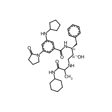 CC(NC[C@@H](O)[C@H](Cc1ccccc1)NC(=O)c1cc(NC2CCCC2)cc(N2CCCC2=O)c1)C(=O)NC1CCCCC1